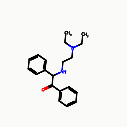 CCN(CC)CCNC(C(=O)c1ccccc1)c1ccccc1